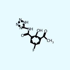 CC(=O)c1cc(F)cc(C(=O)Nc2nnn[nH]2)c1O